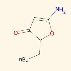 CCCCCC1OC(N)=CC1=O